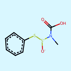 CN(C(=O)O)[S+]([O-])Sc1ccccc1